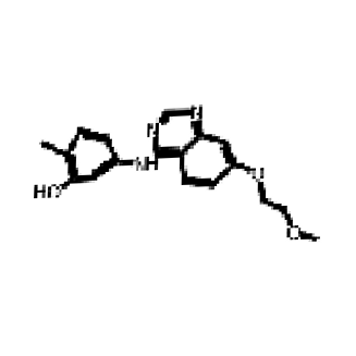 COCCOc1ccc2c(Nc3ccc(C)c(O)c3)ncnc2c1